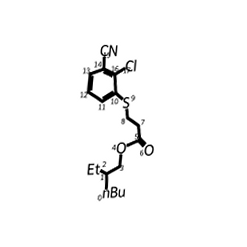 CCCCC(CC)COC(=O)CCSc1cccc(C#N)c1Cl